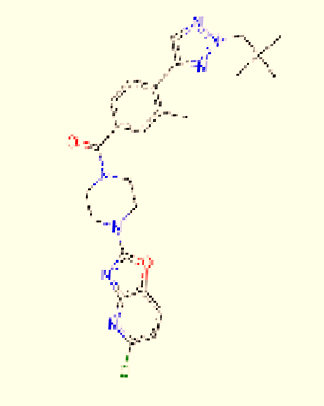 Cc1cc(C(=O)N2CCN(c3nc4nc(Cl)ccc4o3)CC2)ccc1-c1cnn(CC(C)(C)C)n1